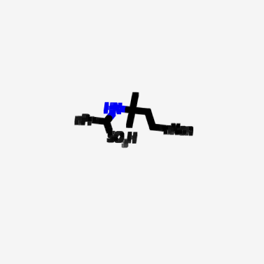 CCCCCCCCCCCC(C)(C)NC(CCC)S(=O)(=O)O